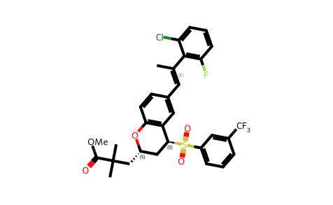 COC(=O)C(C)(C)C[C@H]1C[C@H](S(=O)(=O)c2cccc(C(F)(F)F)c2)c2cc(/C=C(\C)c3c(F)cccc3Cl)ccc2O1